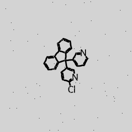 Clc1ccc(C2(c3cccnc3)c3ccccc3-c3ccccc32)cn1